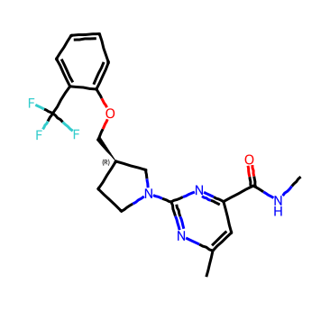 CNC(=O)c1cc(C)nc(N2CC[C@@H](COc3ccccc3C(F)(F)F)C2)n1